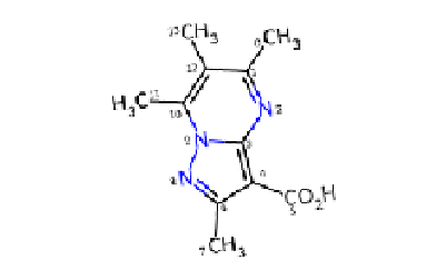 Cc1nc2c(C(=O)O)c(C)nn2c(C)c1C